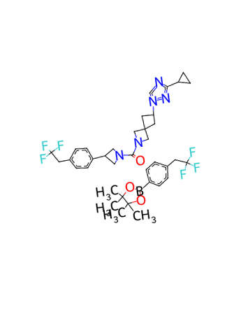 CC1(C)OB(c2ccc(CC(F)(F)F)cc2)OC1(C)C.O=C(N1CC(c2ccc(CC(F)(F)F)cc2)C1)N1CC2(CC(n3cnc(C4CC4)n3)C2)C1